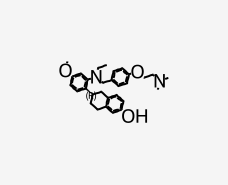 CCN(Cc1ccc(OCCN(C)C)cc1)c1cc(OC)ccc1[C@@H]1CCc2cc(O)ccc2C1